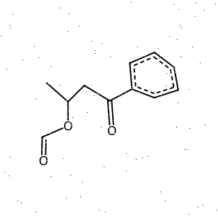 CC(CC(=O)c1ccccc1)OC=O